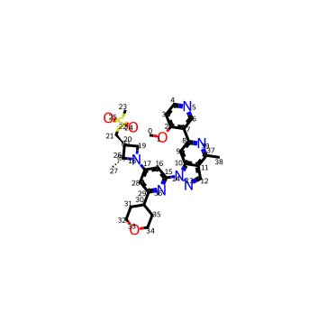 COc1ccncc1-c1cc2c(cnn2-c2cc(N3C[C@H](CS(C)(=O)=O)[C@H]3C)cc(C3CCOCC3)n2)c(C)n1